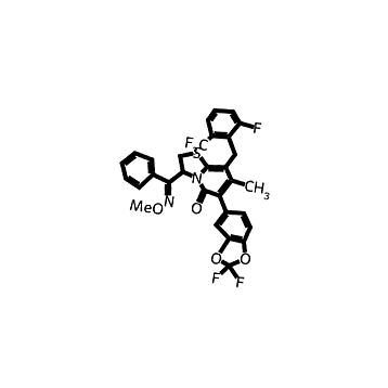 CON=C(c1ccccc1)C1CSc2c(Cc3c(F)cccc3C(F)(F)F)c(C)c(-c3ccc4c(c3)OC(F)(F)O4)c(=O)n21